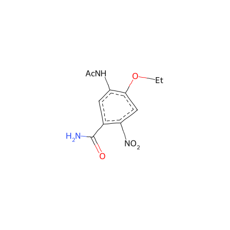 CCOc1cc([N+](=O)[O-])c(C(N)=O)cc1NC(C)=O